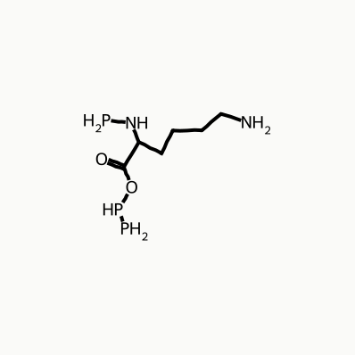 NCCCCC(NP)C(=O)OPP